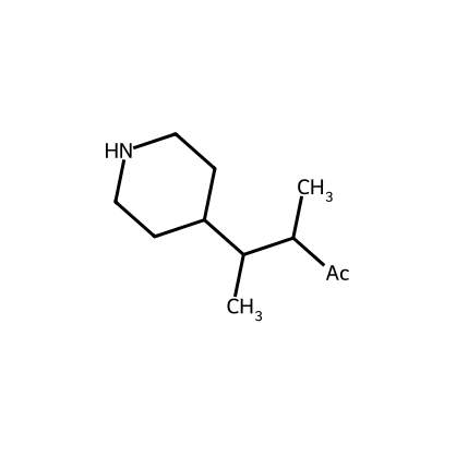 CC(=O)C(C)C(C)C1CCNCC1